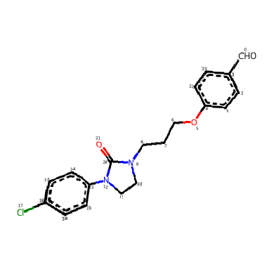 O=Cc1ccc(OCCCN2CCN(c3ccc(Cl)cc3)C2=O)cc1